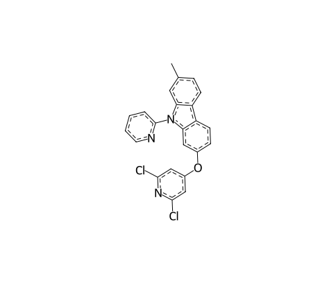 Cc1ccc2c3ccc(Oc4cc(Cl)nc(Cl)c4)cc3n(-c3ccccn3)c2c1